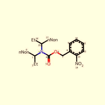 CCCCCCCCCC(CC)N(C(=O)OCc1ccccc1[N+](=O)[O-])C(CC)CCCCCCCCC